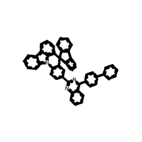 c1ccc(-c2ccc(-c3nc(-c4ccc5c(c4)C4(c6ccccc6-c6ccccc64)c4cccc6c7ccccc7n-5c46)nc4ccccc34)cc2)cc1